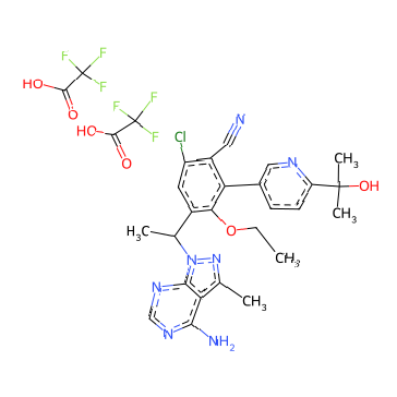 CCOc1c(C(C)n2nc(C)c3c(N)ncnc32)cc(Cl)c(C#N)c1-c1ccc(C(C)(C)O)nc1.O=C(O)C(F)(F)F.O=C(O)C(F)(F)F